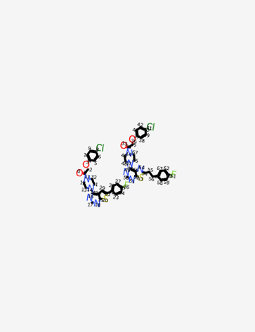 O=C(COc1ccc(Cl)cc1)N1CCN(c2ncnc3sc(-c4ccc(F)cc4)cc23)CC1.O=C(COc1ccc(Cl)cc1)N1CCN(c2ncnc3sc(CCc4ccc(F)cc4)nc23)CC1